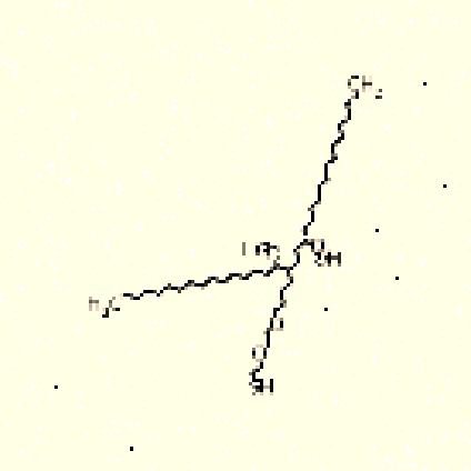 CCCCCCCCCCCCCCCC(CCC(CCCCOCCOCCS)C(CCCCCCCCCCCCCCC)OO)OO